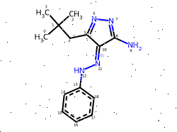 CC(C)(C)CC1=NN=C(N)/C1=N/Nc1ccccc1